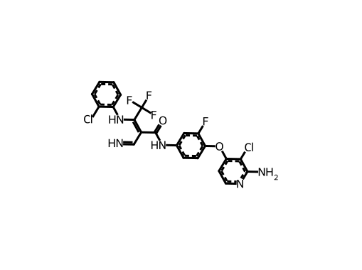 N=C/C(C(=O)Nc1ccc(Oc2ccnc(N)c2Cl)c(F)c1)=C(\Nc1ccccc1Cl)C(F)(F)F